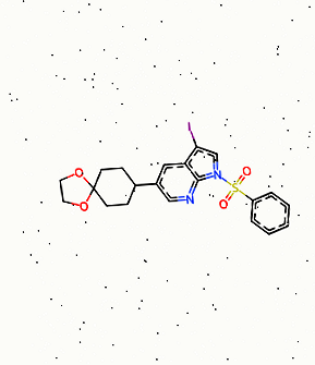 O=S(=O)(c1ccccc1)n1cc(I)c2cc(C3CCC4(CC3)OCCO4)cnc21